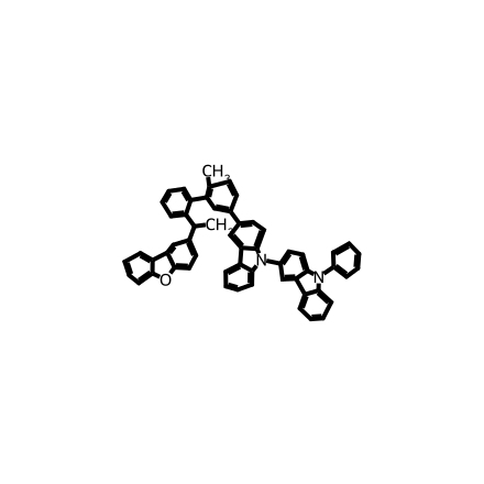 Cc1ccc(-c2ccc3c(c2)c2ccccc2n3-c2ccc3c(c2)c2ccccc2n3-c2ccccc2)cc1-c1ccccc1C(C)c1ccc2oc3ccccc3c2c1